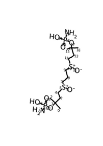 CC(C)(CC[S+]([O-])CCC[S+]([O-])CCC(C)(C)OP(N)(=O)O)OP(N)(=O)O